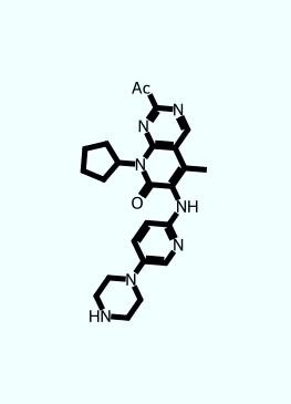 CC(=O)c1ncc2c(C)c(Nc3ccc(N4CCNCC4)cn3)c(=O)n(C3CCCC3)c2n1